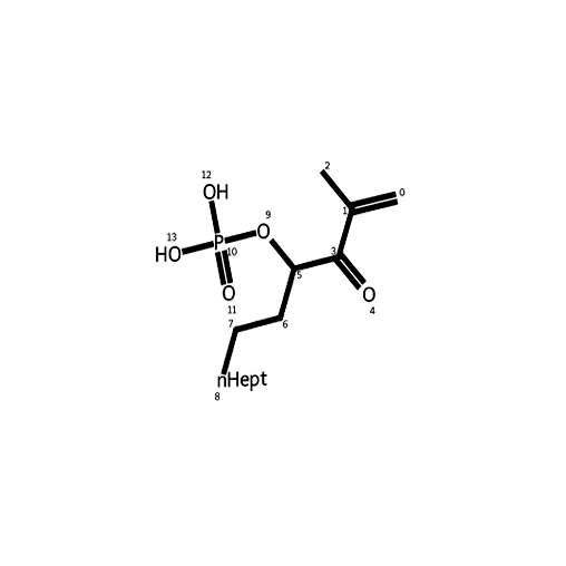 C=C(C)C(=O)C(CCCCCCCCC)OP(=O)(O)O